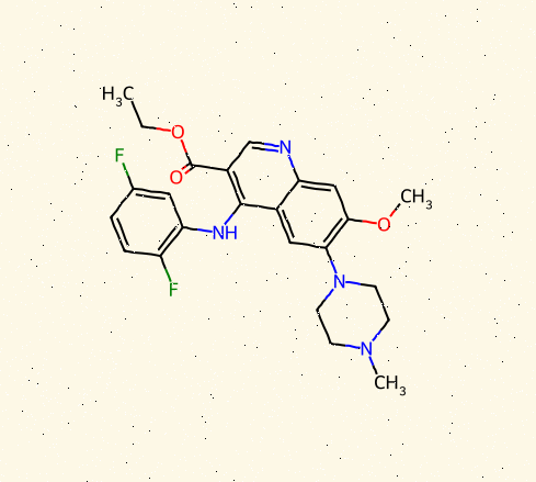 CCOC(=O)c1cnc2cc(OC)c(N3CCN(C)CC3)cc2c1Nc1cc(F)ccc1F